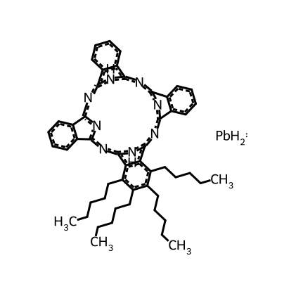 CCCCCc1c(CCCCC)c(CCCCC)c2c3nc4nc(nc5[nH]c(nc6nc(nc([nH]3)c2c1CCCCC)-c1ccccc1-6)c1ccccc51)-c1ccccc1-4.[PbH2]